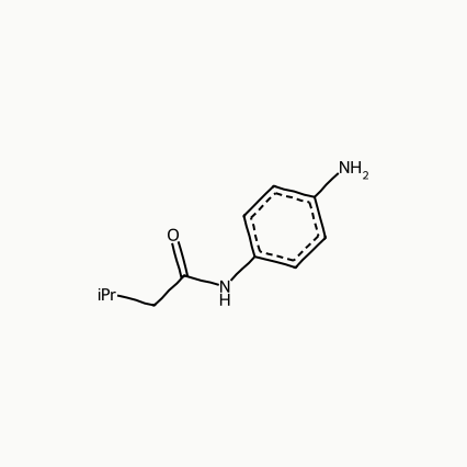 CC(C)CC(=O)Nc1ccc(N)cc1